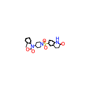 O=C1CCc2cc(S(=O)(=O)N3CCC(N4C(=O)OCc5ccccc54)CC3)ccc2N1